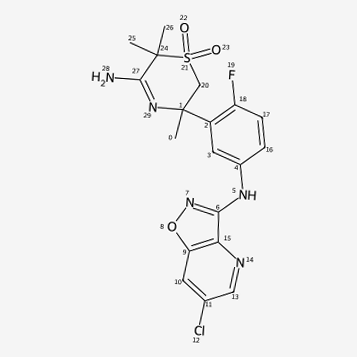 CC1(c2cc(Nc3noc4cc(Cl)cnc34)ccc2F)CS(=O)(=O)C(C)(C)C(N)=N1